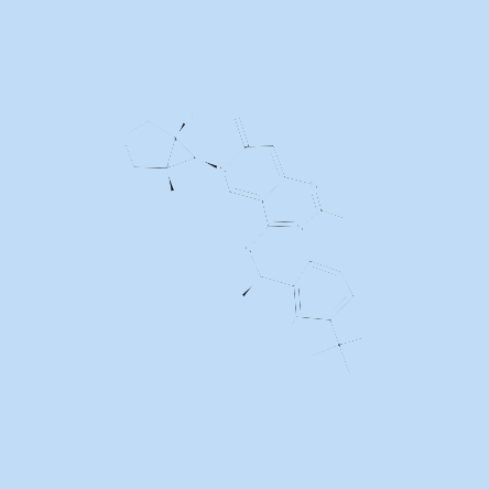 Cc1nc(N[C@H](C)c2cccc(C(F)(F)F)c2C)c2cn([C@H]3[C@@H]4COC[C@@H]43)c(=O)cc2n1